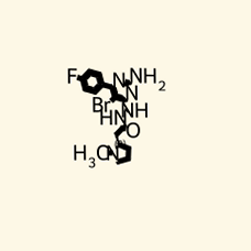 CN1CCC[C@@H]1CC(=O)NNc1nc(N)nc(-c2ccc(F)cc2)c1Br